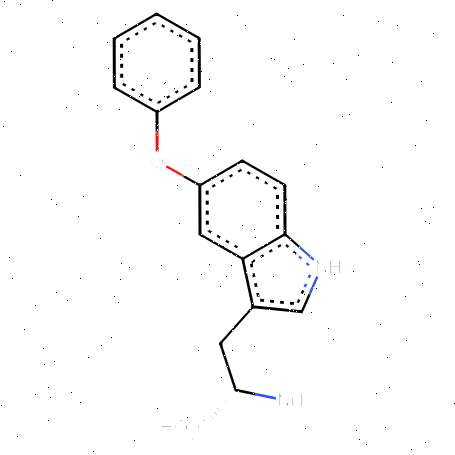 N[C@@H](Cc1c[nH]c2ccc(Oc3ccccc3)cc12)C(=O)O